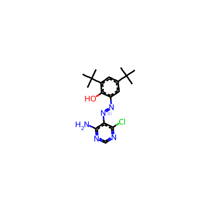 CC(C)(C)c1cc(/N=N/c2c(N)ncnc2Cl)c(O)c(C(C)(C)C)c1